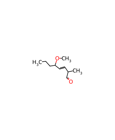 CCCC(C=CC(C)C=O)OC